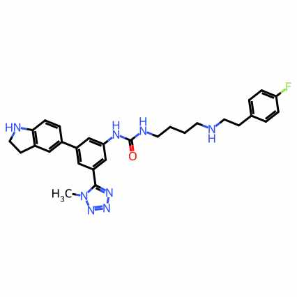 Cn1nnnc1-c1cc(NC(=O)NCCCCNCCc2ccc(F)cc2)cc(-c2ccc3c(c2)CCN3)c1